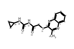 Cc1nc2ccccc2nc1SCC(=O)NC(=O)NC1CC1